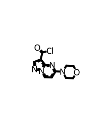 O=C(Cl)c1cnn2ccc(N3CCOCC3)nc12